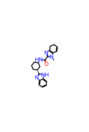 Cn1c(C(=O)N[C@@H]2CCC[C@H](c3nc4ccccc4[nH]3)C2)nc2c1C=CCC2